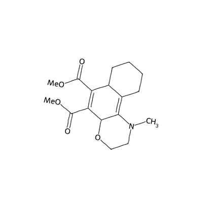 COC(=O)C1=C(C(=O)OC)C2OCCN(C)C2=C2CCCCC21